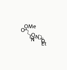 CCO[C@H]1CCN(c2ncc(CCC(=O)OC)o2)C1